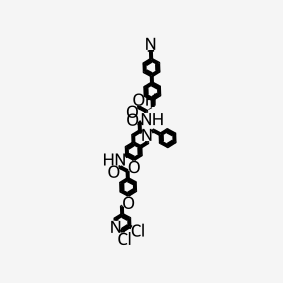 N#Cc1ccc(-c2ccc(C[C@H](NC(=O)C3Cc4cc5c(cc4CN3Cc3ccccc3)OC(c3ccc(OCc4cnc(Cl)c(Cl)c4)cc3)C(=O)N5)C(=O)O)cc2)cc1